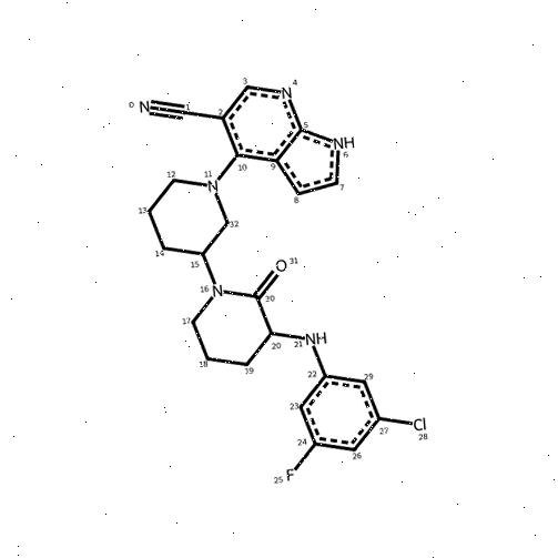 N#Cc1cnc2[nH]ccc2c1N1CCCC(N2CCCC(Nc3cc(F)cc(Cl)c3)C2=O)C1